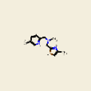 CCc1ccc(CN(C)Cc2nc(C)cs2)nc1